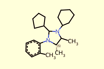 Cc1ccccc1N1C(C2CCCC2)N(C2CCCCC2)C(C)[C@@H]1C